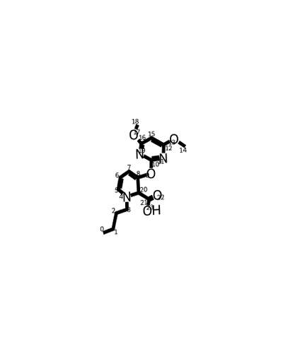 CCCCN1C=CC=C(Oc2nc(OC)cc(OC)n2)C1C(=O)O